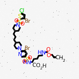 C=CCOC(=O)NCCCCC(NS(=O)(=O)c1cnc(N2CCC(CCCC3CCN(S(=O)(=O)c4sc(Cl)cc4Br)CC3)CC2)c(Br)c1)C(=O)O